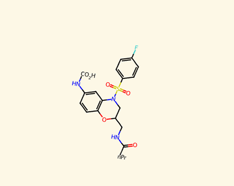 CCCC(=O)NCC1CN(S(=O)(=O)c2ccc(F)cc2)c2cc(NC(=O)O)ccc2O1